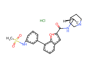 CS(=O)(=O)Nc1cccc(-c2cccc3cc(C(=O)N[C@H]4CN5CCC4CC5)oc23)c1.Cl